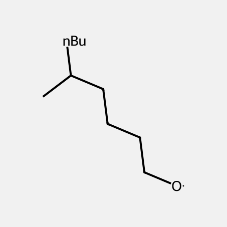 CCCCC(C)CCCC[O]